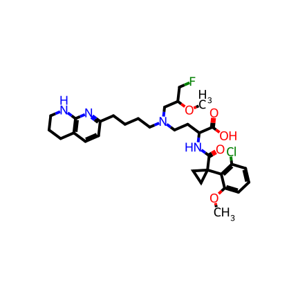 COc1cccc(Cl)c1C1(C(=O)NC(CCN(CCCCc2ccc3c(n2)NCCC3)CC(CF)OC)C(=O)O)CC1